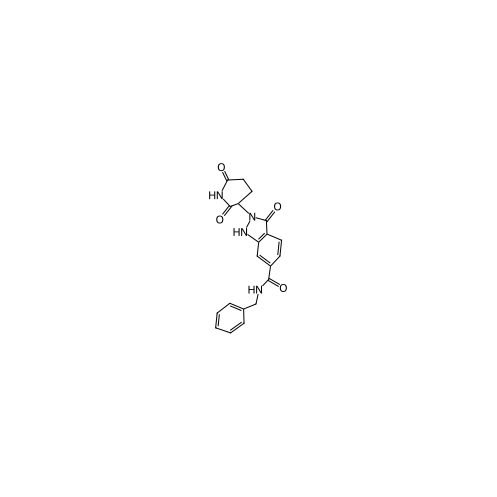 O=C1CCC(n2[nH]c3cc(C(=O)NCc4ccccc4)ccc3c2=O)C(=O)N1